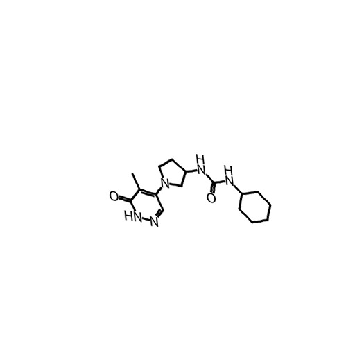 Cc1c(N2CCC(NC(=O)NC3CCCCC3)C2)cn[nH]c1=O